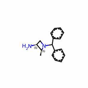 C[C@H]1[C@@H](N)CN1C(c1ccccc1)c1ccccc1